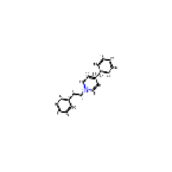 C1=CN(CCc2ccccc2)CC=C1c1ccccc1